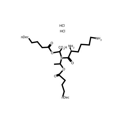 CCCCCCCCCCCCCC(=O)OC(C)N(C(=O)[C@@H](N)CCCCN)C(OC(=O)CCCCCCCCCCCCC)C(=O)O.Cl.Cl